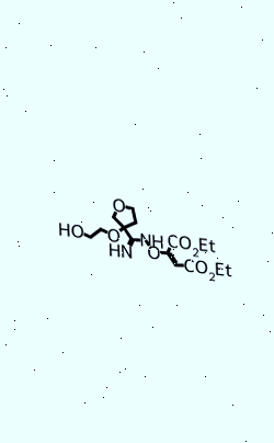 CCOC(=O)/C=C(/ONC(=N)C1(OCCO)CCOC1)C(=O)OCC